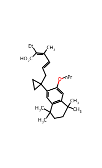 CCCOc1cc2c(cc1C1(CC=CC(C)=C(CC)C(=O)O)CC1)C(C)(C)CCC2(C)C